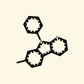 Cc1ccc2c3cccnc3n(-c3ccccc3)c2c1